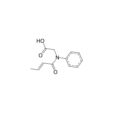 C/C=C/C(=O)N(CC(=O)O)c1ccccc1